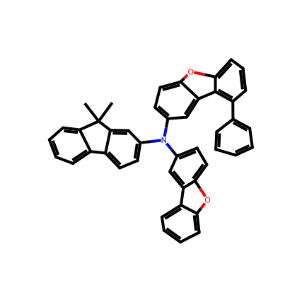 CC1(C)c2ccccc2-c2ccc(N(c3ccc4oc5ccccc5c4c3)c3ccc4oc5cccc(-c6ccccc6)c5c4c3)cc21